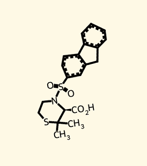 CC1(C)SCCN(S(=O)(=O)c2ccc3c(c2)Cc2ccccc2-3)[C@H]1C(=O)O